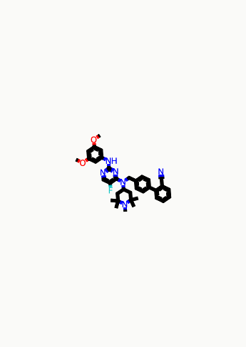 COc1cc(Nc2ncc(F)c(N(Cc3ccc(-c4ccccc4C#N)cc3)C3CC(C)(C)N(C)C(C)(C)C3)n2)cc(OC)c1